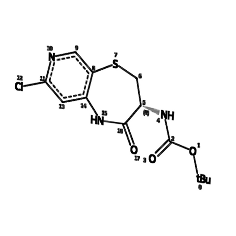 CC(C)(C)OC(=O)N[C@H]1CSc2cnc(Cl)cc2NC1=O